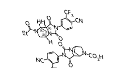 CCC(=O)N1C[C@@H]2C[C@H]1[C@@H]1C(=O)N(c3ccc(C#N)c(C(F)(F)F)c3)C(=O)N21.N#Cc1ccc(N2C(=O)C3C4CC(CN4C(=O)O)N3C2=O)cc1C(F)(F)F